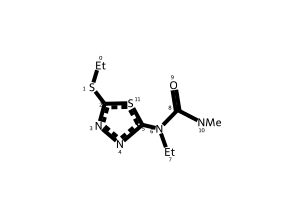 CCSc1nnc(N(CC)C(=O)NC)s1